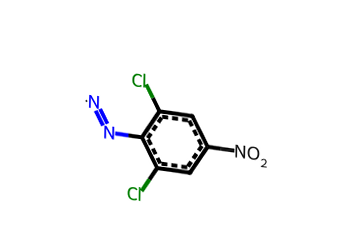 [N]=Nc1c(Cl)cc([N+](=O)[O-])cc1Cl